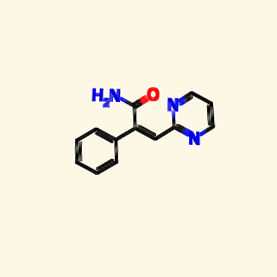 NC(=O)C(=Cc1ncccn1)c1ccccc1